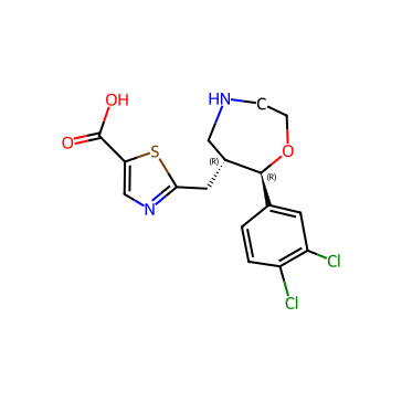 O=C(O)c1cnc(C[C@@H]2CNCCO[C@H]2c2ccc(Cl)c(Cl)c2)s1